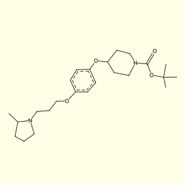 CC1CCCN1CCCOc1ccc(OC2CCN(C(=O)OC(C)(C)C)CC2)cc1